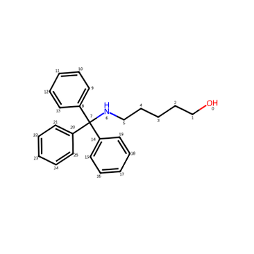 OCCCCCNC(c1ccccc1)(c1ccccc1)c1ccccc1